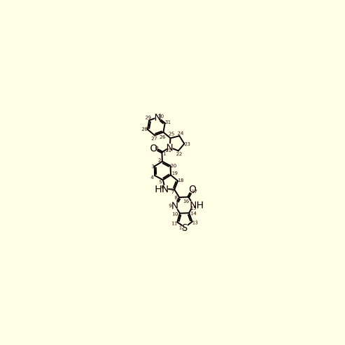 O=C(c1ccc2[nH]c(-c3nc4cscc4[nH]c3=O)cc2c1)N1CCCC1c1cccnc1